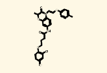 Cc1ccc(OCCN2C(=O)C(C)Oc3cc(NC(=O)CCCOc4ccc(Cl)cc4Cl)ccc32)cc1